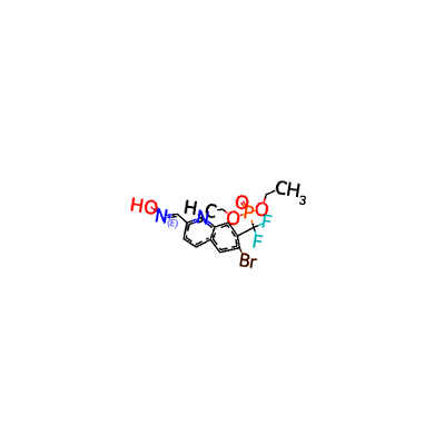 CCOP(=O)(OCC)C(F)(F)c1cc2nc(/C=N/O)ccc2cc1Br